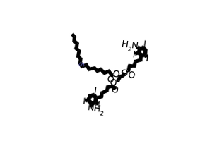 CCCCCCCC/C=C\CCCCCCCC(=O)OC(COC(=O)CCCCc1c(I)cc(I)c(N)c1I)COC(=O)CCCCc1c(I)cc(I)c(N)c1I